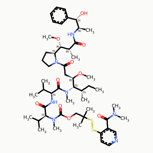 CC[C@H](C)[C@@H]([C@@H](CC(=O)N1CCC[C@H]1[C@H](OC)[C@@H](C)C(=O)N[C@H](C)[C@@H](O)c1ccccc1)OC)N(C)C(=O)[C@@H](NC(=O)[C@H](C(C)C)N(C)C(=O)OCC(C)(C)SSc1ccncc1C(=O)N(C)C)C(C)C